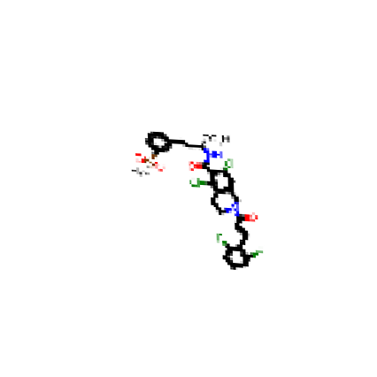 CS(=O)(=O)c1cccc(CC[C@H](NC(=O)c2c(Cl)cc3c(c2Cl)CCN(C(=O)/C=C/c2c(F)cccc2F)C3)C(=O)O)c1